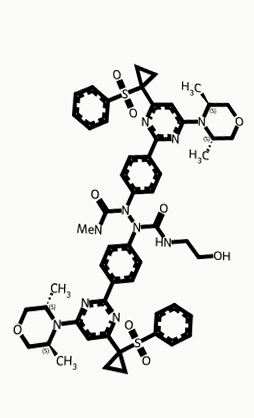 CNC(=O)N(c1ccc(-c2nc(N3[C@@H](C)COC[C@@H]3C)cc(C3(S(=O)(=O)c4ccccc4)CC3)n2)cc1)N(C(=O)NCCO)c1ccc(-c2nc(N3[C@@H](C)COC[C@@H]3C)cc(C3(S(=O)(=O)c4ccccc4)CC3)n2)cc1